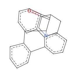 O=C1C2CCN(CC2)C1Cc1ccccc1-c1ccccc1-c1ccccc1